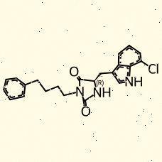 O=C1N[C@H](Cc2c[nH]c3c(Cl)cccc23)C(=O)N1CCCCc1ccccc1